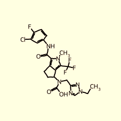 CCn1cnc(CN(C(=O)O)C2CCc3c2c(C(F)(F)F)n(C)c3C(=O)Nc2ccc(F)c(Cl)c2)n1